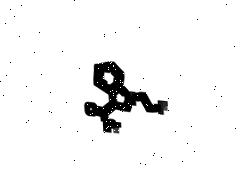 CC(C)C(=O)C1CN(CCF)c2ccccc21